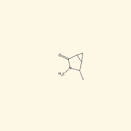 CN1C(=O)C2CC2C1I